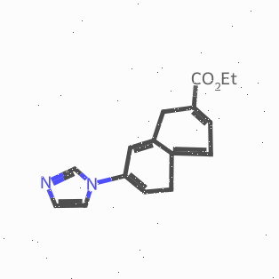 CCOC(=O)C1=CC=C2CC=C(n3ccnc3)C=C2C1